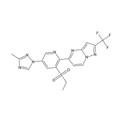 CCS(=O)(=O)c1cc(-n2cnc(C)n2)cnc1-c1ccn2nc(C(F)(F)F)cc2n1